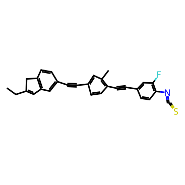 CCC1=Cc2cc(C#Cc3ccc(C#Cc4ccc(N=C=S)c(F)c4)c(C)c3)ccc2C1